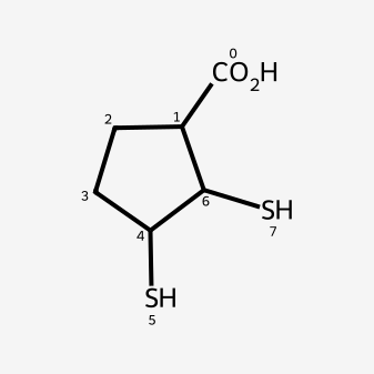 O=C(O)C1CCC(S)C1S